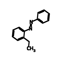 CCc1ccccc1N=Nc1ccccc1